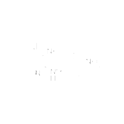 O=[N+]([O-])c1ccc2c(c1)C=Nc1c(Cl)ccnc1N2